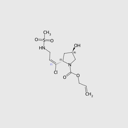 C=CCOC(=O)N1C[C@H](O)C[C@H]1/C(Cl)=C\CNS(C)(=O)=O